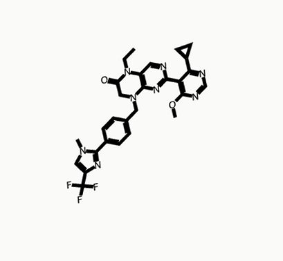 CCN1C(=O)CN(Cc2ccc(-c3nc(C(F)(F)F)cn3C)cc2)c2nc(-c3c(OC)ncnc3C3CC3)ncc21